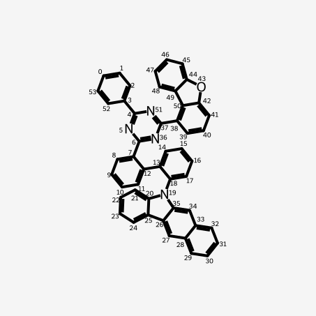 c1ccc(-c2nc(-c3ccccc3-c3ccccc3-n3c4ccccc4c4cc5ccccc5cc43)nc(-c3cccc4oc5ccccc5c34)n2)cc1